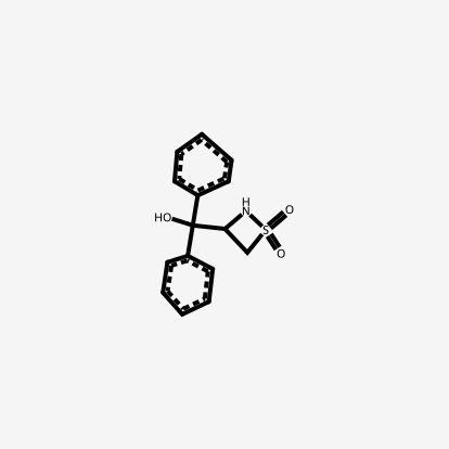 O=S1(=O)CC(C(O)(c2ccccc2)c2ccccc2)N1